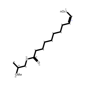 CCCCCCCC/C=C\CCCCCCCC(=O)OCC(C)OC